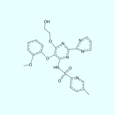 COc1ccccc1Oc1c(NS(=O)(=O)c2ccc(C)cn2)nc(-c2ncccn2)nc1OCCO